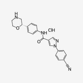 Cl.N#Cc1ccc(-n2cc(C(=O)Nc3ccc([C@H]4CNCCO4)cc3)cn2)cc1